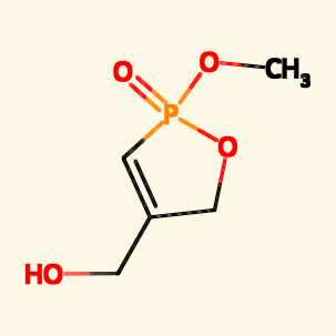 COP1(=O)C=C(CO)CO1